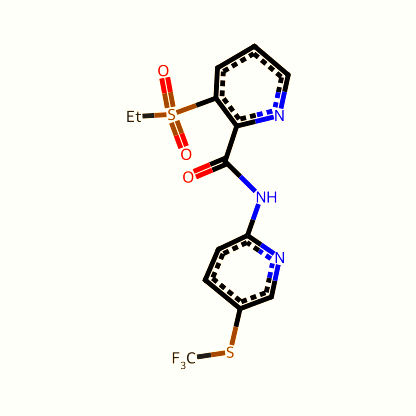 CCS(=O)(=O)c1cccnc1C(=O)Nc1ccc(SC(F)(F)F)cn1